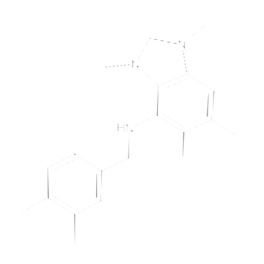 Cc1ccc(CNc2c(I)c(I)cc3c2N(C)[C]N3C)cc1C